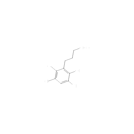 O=CCCCc1c(O)c(Cl)cc(Cl)c1Cl